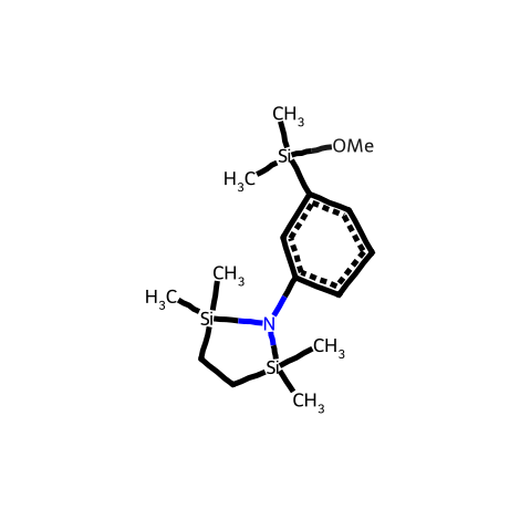 CO[Si](C)(C)c1cccc(N2[Si](C)(C)CC[Si]2(C)C)c1